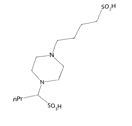 CCCC(N1CCN(CCCCS(=O)(=O)O)CC1)S(=O)(=O)O